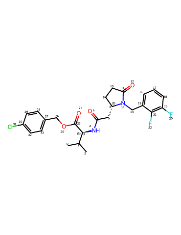 CC(C)[C@H](NC(=O)C[C@@H]1CCC(=O)N1Cc1cccc(F)c1F)C(=O)OCc1ccc(Cl)cc1